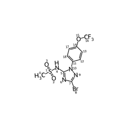 CS(=O)(=O)Nc1nc(Br)nn1-c1ccc(OC(F)(F)F)cc1